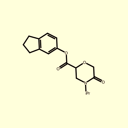 CC(C)N1CC(C(=O)Oc2ccc3c(c2)CCC3)OCC1=O